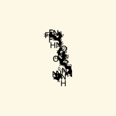 Cn1nccc1Nc1nccc(-c2cc3c(s2)C(C)(C)N(CC(=O)NCc2ccnc(C(F)(F)F)c2)C3=O)n1